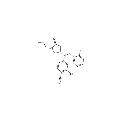 CCCN1C[C@@H](N(Cc2ccccc2C)c2ccc(C#N)c(Cl)c2)CC1=O